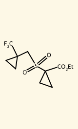 CCOC(=O)C1(S(=O)(=O)CC2(C(F)(F)F)CC2)CC1